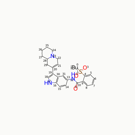 CCC(C)S(=O)(=O)c1ccccc1C(=O)Nc1ccc2[nH]cc(C3=CCN4CCCCC4C3)c2c1